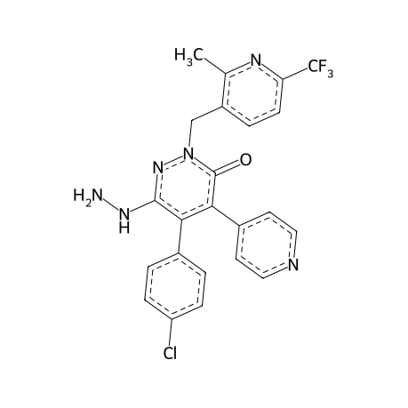 Cc1nc(C(F)(F)F)ccc1Cn1nc(NN)c(-c2ccc(Cl)cc2)c(-c2ccncc2)c1=O